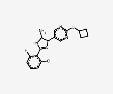 NC1NC(c2c(F)cccc2Cl)=NC1c1cnc(OC2CCC2)nc1